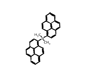 C[Si](C)(c1ccc2ccc3cccc4ccc1c2c34)c1ccc2ccc3cccc4ccc1c2c34